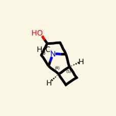 CN1C2CC(O)CC1[C@@H]1CC[C@H]21